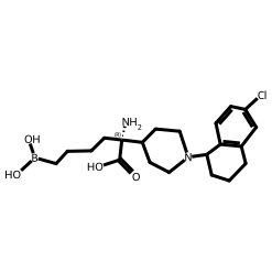 N[C@@](CCCCB(O)O)(C(=O)O)C1CCN(C2CCCc3cc(Cl)ccc32)CC1